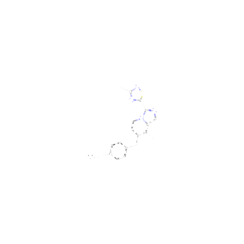 COc1ccc(Cc2ccn3c(-c4nc(C)ns4)ncc3c2C)cc1